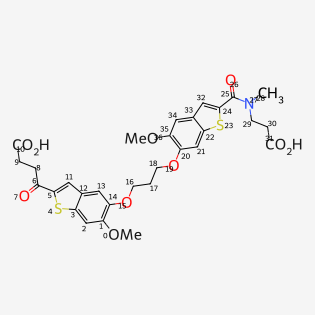 COc1cc2sc(C(=O)CCC(=O)O)cc2cc1OCCCOc1cc2sc(C(=O)N(C)CCC(=O)O)cc2cc1OC